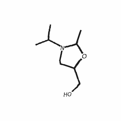 CC(C)N1CC(CO)OC1C